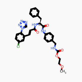 COCCOC(=O)NCc1ccc(NC(=O)[C@H](Cc2ccccc2)NC(=O)C=Cc2cc(Cl)ccc2-n2cnnn2)cc1